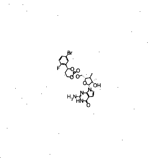 C[C@@H]1[C@@H](COP2(=O)OCC[C@@H](c3cc(Br)ccc3F)O2)O[C@@H](n2ccc3c(=O)[nH]c(N)nc32)[C@]1(C)O